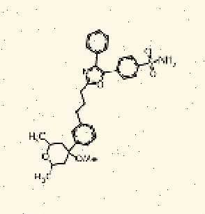 COC1(c2cccc(CCCc3nc(-c4ccccc4)c(-c4ccc(S(N)(=O)=O)cc4)o3)c2)CC(C)OC(C)C1